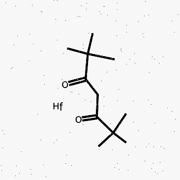 CC(C)(C)C(=O)CC(=O)C(C)(C)C.[Hf]